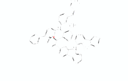 C=C/C=C\c1cccc(N(c2ccc(-c3ccccc3)cc2)c2ccccc2-c2ccccc2-c2ccc3c4ccccc4n(-c4cccc5c4oc4ccccc45)c3c2)c1C